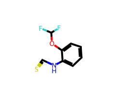 FC(F)Oc1ccccc1NC=S